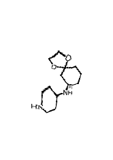 C1C[C@@H](NC2CCNCC2)CC2(C1)OCCO2